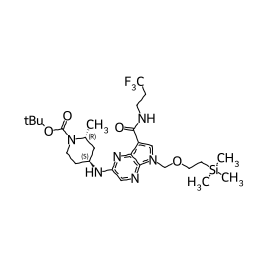 C[C@@H]1C[C@@H](Nc2cnc3c(n2)c(C(=O)NCCC(F)(F)F)cn3COCC[Si](C)(C)C)CCN1C(=O)OC(C)(C)C